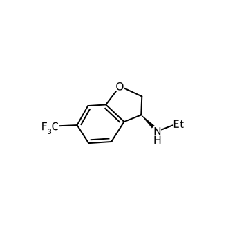 CCN[C@@H]1COc2cc(C(F)(F)F)ccc21